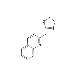 C1=NCCO1.Cc1ccc2ccccc2n1